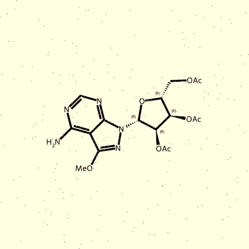 COc1nn([C@@H]2O[C@H](COC(C)=O)[C@@H](OC(C)=O)[C@H]2OC(C)=O)c2ncnc(N)c12